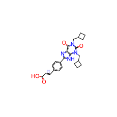 O=C(O)/C=C/c1ccc(-c2nc3c(=O)n(CC4CCC4)c(=O)n(CC4CCC4)c3[nH]2)cc1